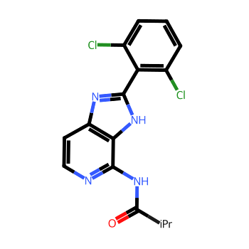 CC(C)C(=O)Nc1nccc2nc(-c3c(Cl)cccc3Cl)[nH]c12